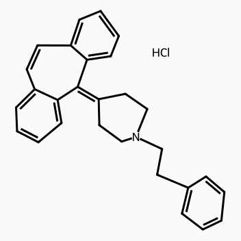 C1=Cc2ccccc2C(=C2CCN(CCc3ccccc3)CC2)c2ccccc21.Cl